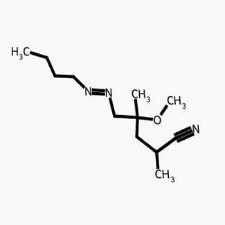 CCCCN=NCC(C)(CC(C)C#N)OC